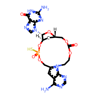 Nc1nc2c(ncn2[C@@H]2O[C@@H]3COC(=O)OCCn4c(cc5c(N)ncnc54)COP(=O)(S)O[C@@H]2C3)c(=O)[nH]1